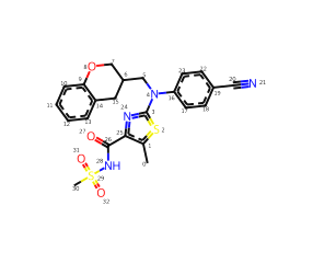 Cc1sc(N(CC2COc3ccccc3C2)c2ccc(C#N)cc2)nc1C(=O)NS(C)(=O)=O